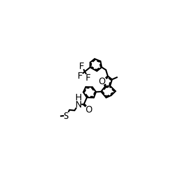 CSCCNC(=O)c1cccc(-c2cccc3c(C)c(Cc4cccc(C(F)(F)F)c4)oc23)c1